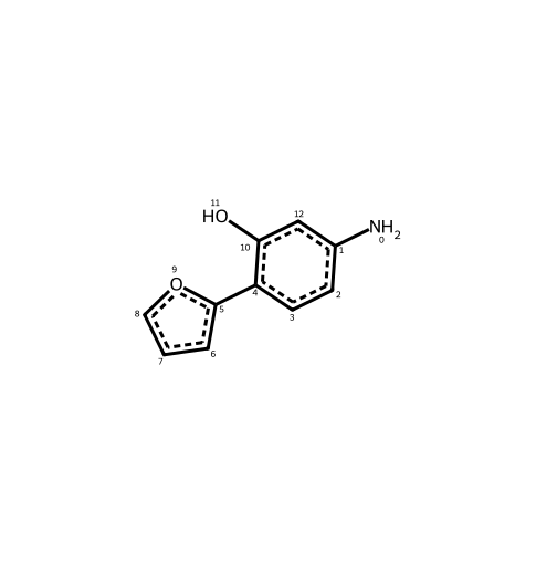 Nc1ccc(-c2ccco2)c(O)c1